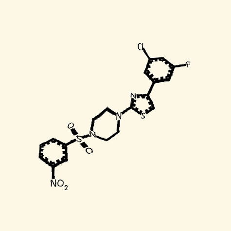 O=[N+]([O-])c1cccc(S(=O)(=O)N2CCN(c3nc(-c4cc(F)cc(Cl)c4)cs3)CC2)c1